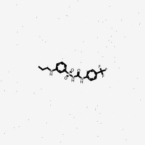 CCCNc1cccc(S(=O)(=O)NC(=O)Nc2ccc(C(F)(F)F)cc2)c1